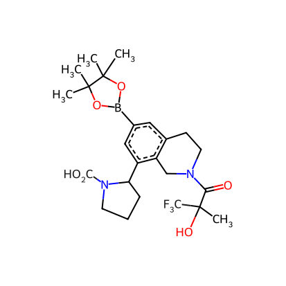 CC1(C)OB(c2cc3c(c(C4CCCN4C(=O)O)c2)CN(C(=O)C(C)(O)C(F)(F)F)CC3)OC1(C)C